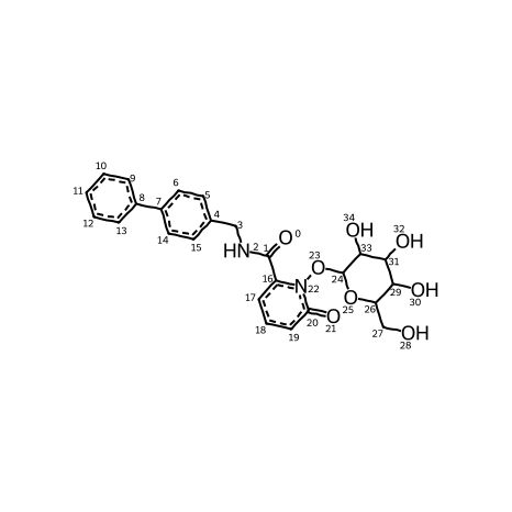 O=C(NCc1ccc(-c2ccccc2)cc1)c1cccc(=O)n1OC1OC(CO)C(O)C(O)C1O